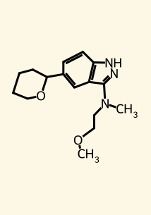 COCCN(C)c1n[nH]c2ccc(C3CCCCO3)cc12